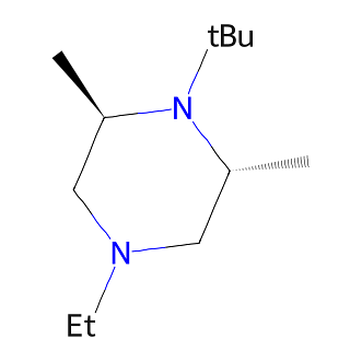 CCN1C[C@@H](C)N(C(C)(C)C)[C@H](C)C1